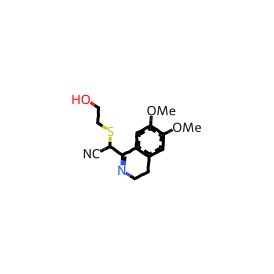 COc1cc2c(cc1OC)C(C(C#N)SCCO)=NCC2